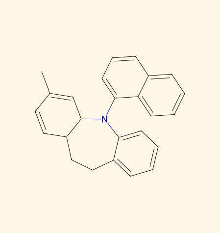 CC1=CC2C(C=C1)CCc1ccccc1N2c1cccc2ccccc12